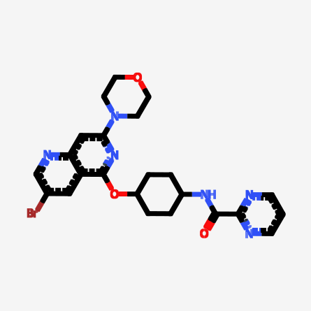 O=C(NC1CCC(Oc2nc(N3CCOCC3)cc3ncc(Br)cc23)CC1)c1ncccn1